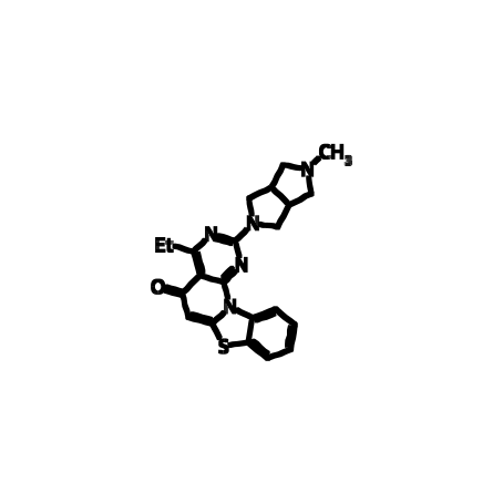 CCc1nc(N2CC3CN(C)CC3C2)nc2c1c(=O)cc1sc3ccccc3n12